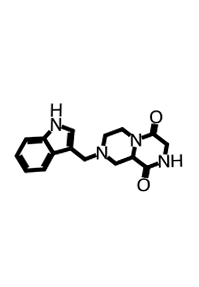 O=C1NCC(=O)N2CCN(Cc3c[nH]c4ccccc34)CC12